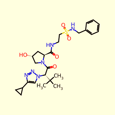 CC(C)(C)[C@@H](C(=O)N1C[C@H](O)C[C@H]1C(=O)NCCS(=O)(=O)NCc1ccccc1)n1cc(C2CC2)nn1